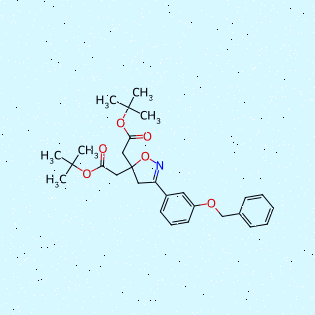 CC(C)(C)OC(=O)CC1(CC(=O)OC(C)(C)C)CC(c2cccc(OCc3ccccc3)c2)=NO1